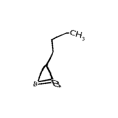 CCC1B=B1